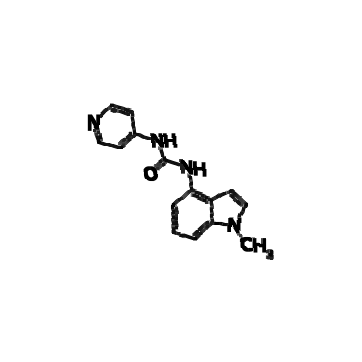 Cn1ccc2c(NC(=O)Nc3ccncc3)cccc21